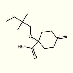 C=C1CCC(OCC(C)(C)CC)(C(=O)O)CC1